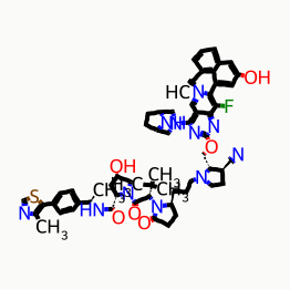 C#Cc1cccc2cc(O)cc(-c3ncc4c(N5CC6CCC(C5)N6)nc(OC[C@@H]5[C@@H](C#N)CCN5CCC[C@H]5CCC(=O)N5[C@H](C(=O)N5C[C@H](O)C[C@H]5C(=O)N[C@@H](C)c5ccc(-c6scnc6C)cc5)C(C)(C)C)nc4c3F)c12